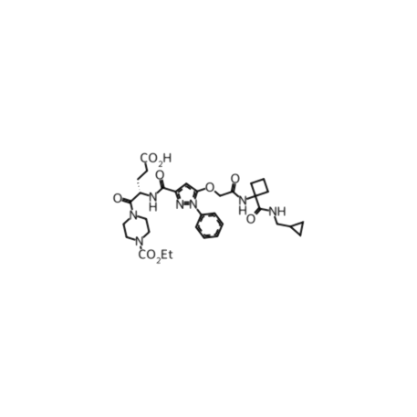 CCOC(=O)N1CCN(C(=O)[C@H](CCC(=O)O)NC(=O)c2cc(OCC(=O)NC3(C(=O)NCC4CC4)CCC3)n(-c3ccccc3)n2)CC1